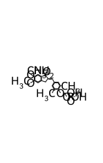 COc1cc2c(c(N)c1OC)C(=O)C(=Cc1cc(C)c(OCOP(=O)(O)O)c(C)c1)C2